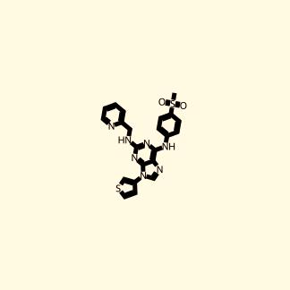 CS(=O)(=O)c1ccc(Nc2nc(NCc3ccccn3)nc3c2ncn3-c2ccsc2)cc1